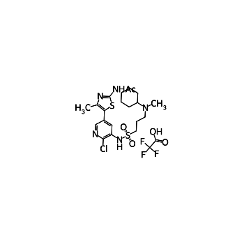 CC(=O)Nc1nc(C)c(-c2cnc(Cl)c(NS(=O)(=O)CCCN(C)C3CCCCC3)c2)s1.O=C(O)C(F)(F)F